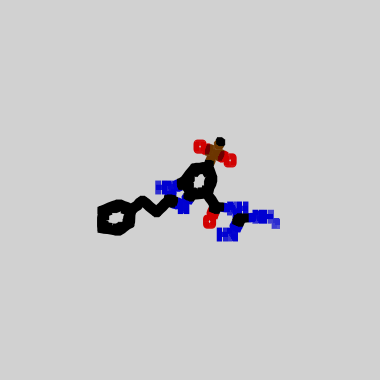 CS(=O)(=O)c1cc(C(=O)NC(=N)N)c2nc(CCc3ccccc3)[nH]c2c1